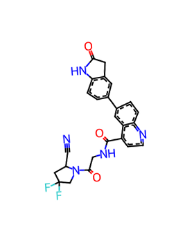 N#CC1CC(F)(F)CN1C(=O)CNC(=O)c1ccnc2ccc(-c3ccc4c(c3)CC(=O)N4)cc12